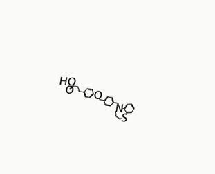 O=C(O)CCc1ccc(OCc2ccc(CN3CCCSc4ccccc43)cc2)cc1